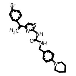 C=C(c1ccc(Br)cc1)c1csc(NC(=O)NCc2ccc(N3CCCCC3)cc2)n1